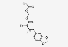 CCN(C(=O)OCOC(=O)C(C)(C)C)[C@@H](C)Cc1ccc2c(c1)OCO2